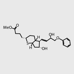 COC(=O)CCC[C@@H]1CC[C@@H]2[C@@H](C=C[C@@H](O)COc3ccccc3)[C@H](O)C[C@@H]2S1